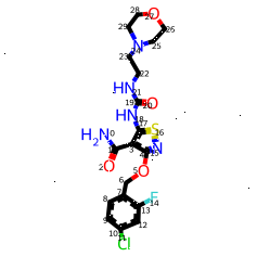 NC(=O)c1c(OCc2ccc(Cl)cc2F)nsc1NC(=O)NCCN1CCOCC1